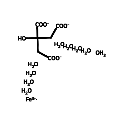 O.O.O.O.O.O.O.O.O.O=C([O-])CC(O)(CC(=O)[O-])C(=O)[O-].[Fe+3]